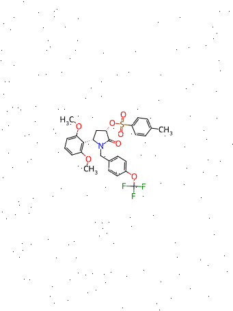 COc1cccc(OC)c1[C@@H]1C[C@H](OS(=O)(=O)c2ccc(C)cc2)C(=O)N1Cc1ccc(OC(F)(F)F)cc1